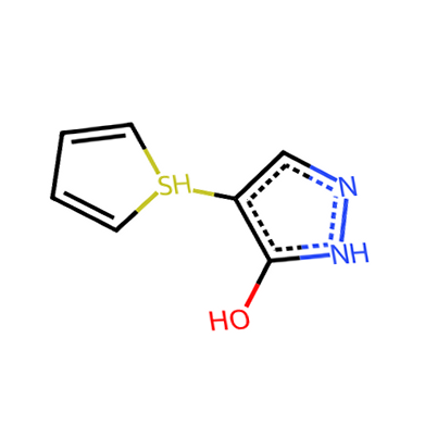 Oc1[nH]ncc1[SH]1C=CC=C1